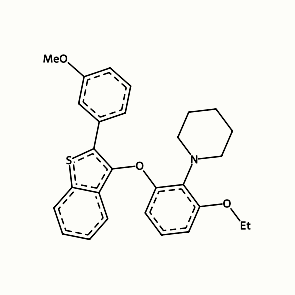 CCOc1cccc(Oc2c(-c3cccc(OC)c3)sc3ccccc23)c1N1CCCCC1